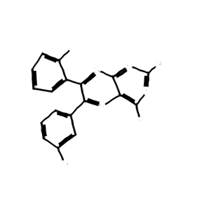 Nc1nc(N)c2nc(-c3cccc(O)c3)c(-c3ccccc3O)nc2n1